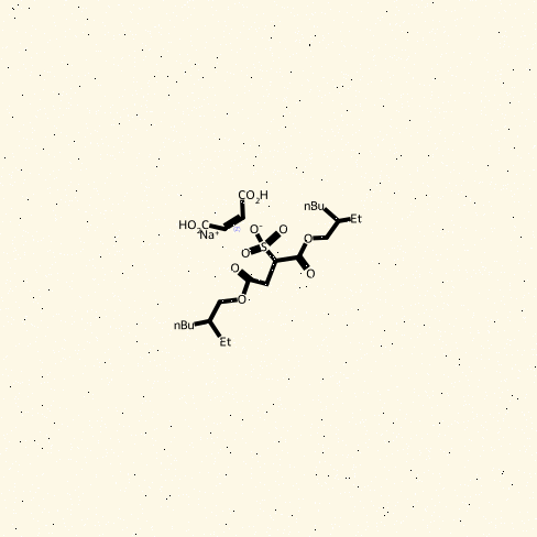 CCCCC(CC)COC(=O)CC(C(=O)OCC(CC)CCCC)S(=O)(=O)[O-].O=C(O)/C=C\C(=O)O.[Na+]